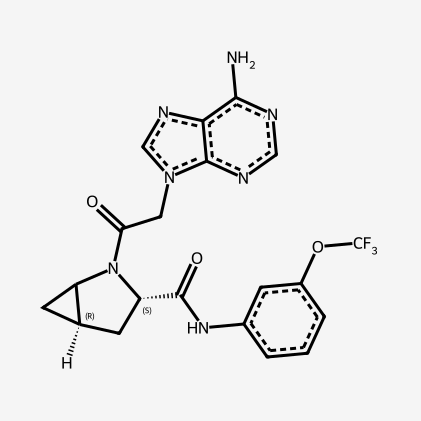 Nc1ncnc2c1ncn2CC(=O)N1C2C[C@@H]2C[C@H]1C(=O)Nc1cccc(OC(F)(F)F)c1